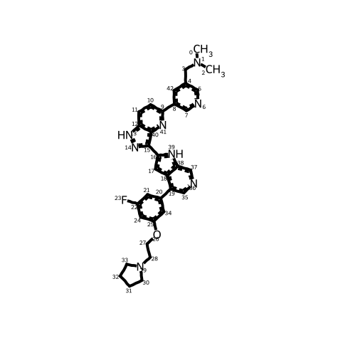 CN(C)Cc1cncc(-c2ccc3[nH]nc(-c4cc5c(-c6cc(F)cc(OCCN7CCCC7)c6)cncc5[nH]4)c3n2)c1